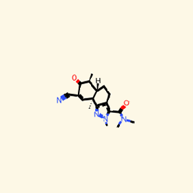 C[C@@H]1C(=O)C(C#N)=C[C@]2(C)c3nn(C)c(C(=O)N(C)C)c3CC[C@@H]12